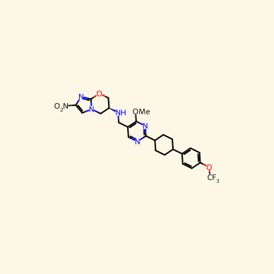 COc1nc(C2CCC(c3ccc(OC(F)(F)F)cc3)CC2)ncc1CN[C@@H]1COc2nc([N+](=O)[O-])cn2C1